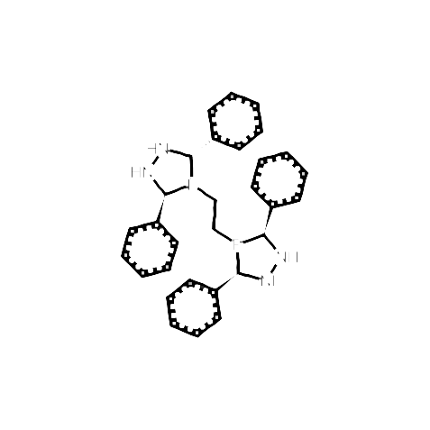 c1ccc([C@H]2NN[C@H](c3ccccc3)P2CCP2[C@@H](c3ccccc3)NN[C@H]2c2ccccc2)cc1